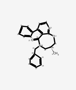 C[C@H]1COc2nccc(-c3ccccc3)c2C(=O)N(Cc2ccccc2)C1